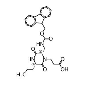 CCC[C@@H]1NC(=O)[C@H](CNC(=O)OCC2c3ccccc3-c3ccccc32)N(CCC(=O)O)C1=O